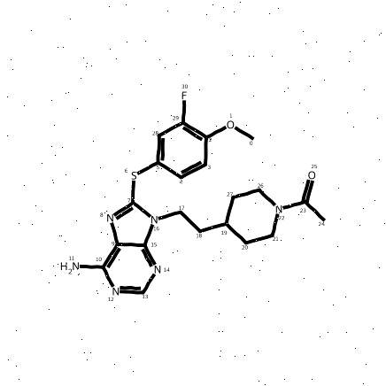 COc1ccc(Sc2nc3c(N)ncnc3n2CCC2CCN(C(C)=O)CC2)cc1F